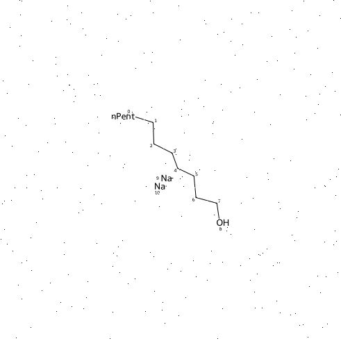 CCCCCCCCCCCCO.[Na].[Na]